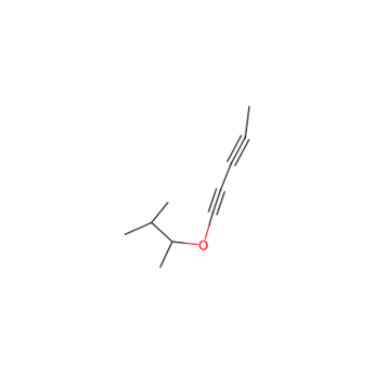 CC#CC#COC(C)C(C)C